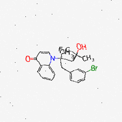 CC(Cc1cccc(Br)c1)(CC(C)(O)C(F)(F)F)n1ccc(=O)c2ccccc21